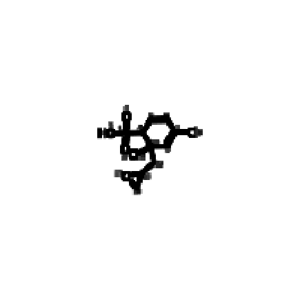 O=S(=O)(O)C1C=CC(Cl)=CC1(Cl)CC1CO1